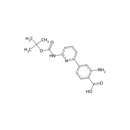 CC(C)(C)OC(=O)Nc1cccc(-c2ccc(C(=O)O)c(N)c2)n1